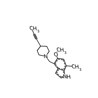 CC#CC1CCN(Cc2c(OC)cc(C)c3[nH]ccc23)CC1